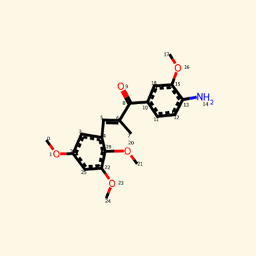 COc1cc(/C=C(\C)C(=O)c2ccc(N)c(OC)c2)c(OC)c(OC)c1